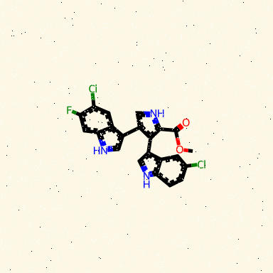 COC(=O)c1[nH]cc(-c2c[nH]c3cc(F)c(Cl)cc23)c1-c1c[nH]c2ccc(Cl)cc12